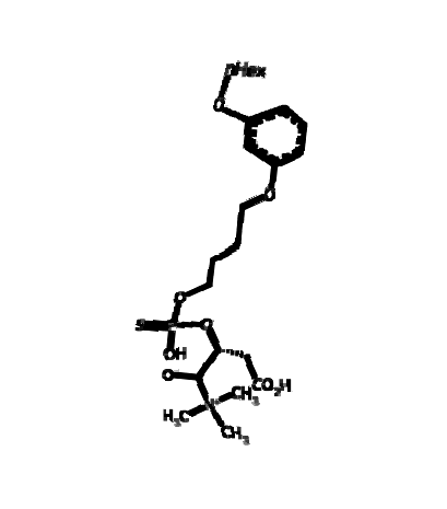 CCCCCCOc1cccc(OCCCCOP(O)(=S)O[C@H](CC(=O)O)C([O-])[N+](C)(C)C)c1